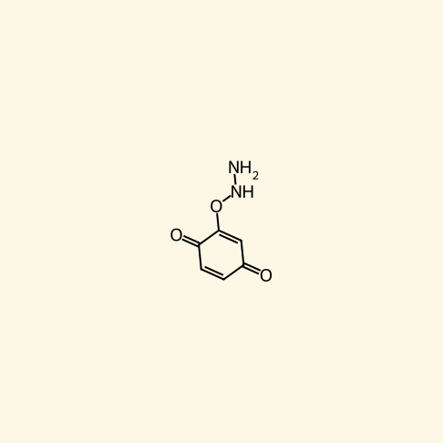 NNOC1=CC(=O)C=CC1=O